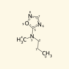 CCCN(C)c1ncno1